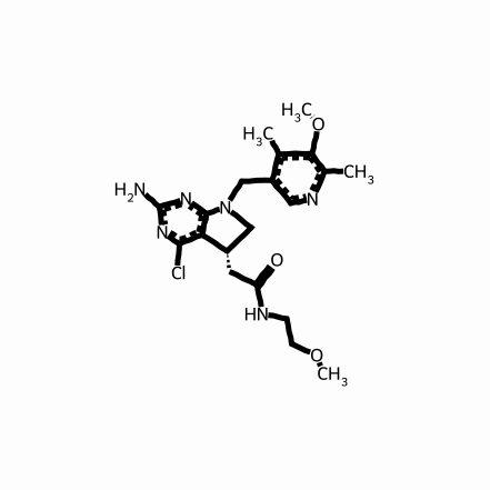 COCCNC(=O)C[C@H]1CN(Cc2cnc(C)c(OC)c2C)c2nc(N)nc(Cl)c21